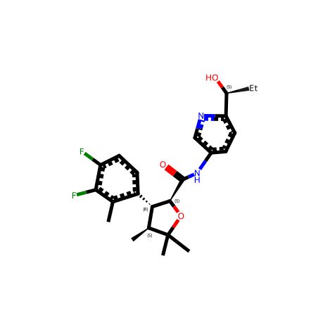 CC[C@H](O)c1ccc(NC(=O)[C@H]2OC(C)(C)[C@@H](C)[C@@H]2c2ccc(F)c(F)c2C)cn1